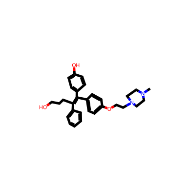 CN1CCN(CCOc2ccc(/C(=C(/CCCO)c3ccccc3)c3ccc(O)cc3)cc2)CC1